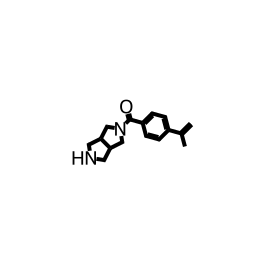 C=C(C)c1ccc(C(=O)N2CC3CNCC3C2)cc1